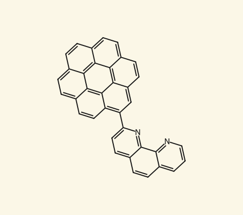 c1cnc2c(c1)ccc1ccc(-c3cc4ccc5ccc6ccc7ccc8ccc3c3c8c7c6c5c43)nc12